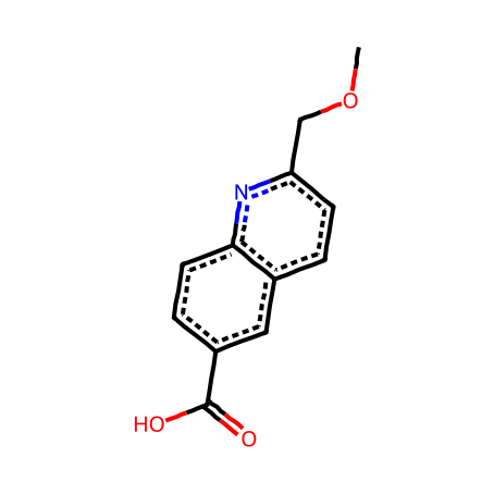 COCc1ccc2cc(C(=O)O)ccc2n1